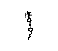 CCCCC[C@H]1CC[C@H](C#Cc2ccc(C(F)(F)C(F)(F)F)cc2)CC1